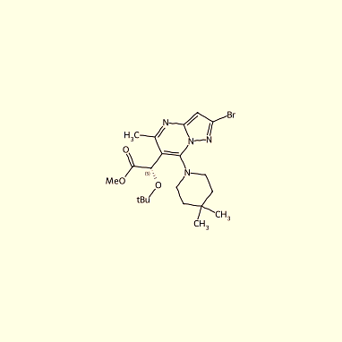 COC(=O)[C@@H](OC(C)(C)C)c1c(C)nc2cc(Br)nn2c1N1CCC(C)(C)CC1